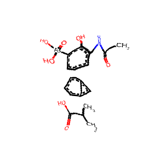 CC(=O)Nc1cccc([As](=O)(O)O)c1O.CC(C)C(=O)O.c1cc2cc-2c1